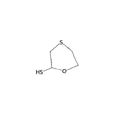 SC1CSCCO1